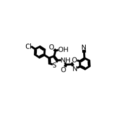 N#Cc1cccc2nc(C(=O)Nc3scc(-c4ccc(Cl)cc4)c3C(=O)O)oc12